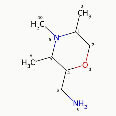 CC1COC(CN)C(C)N1C